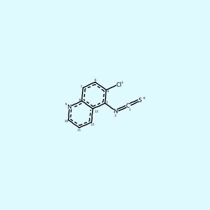 S=C=Nc1c(Cl)ccc2ncccc12